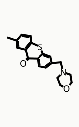 Cc1ccc2sc3cc(CN4CCOCC4)ccc3c(=O)c2c1